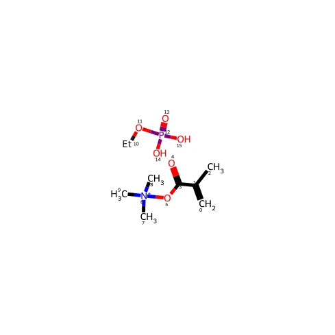 C=C(C)C(=O)O[N+](C)(C)C.CCOP(=O)(O)O